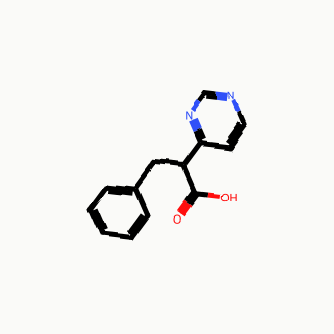 O=C(O)C(Cc1ccccc1)c1ccncn1